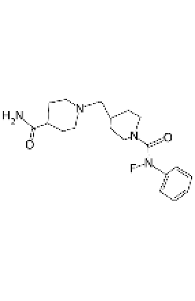 NC(=O)C1CCN(CC2CCN(C(=O)N(F)c3ccccc3)CC2)CC1